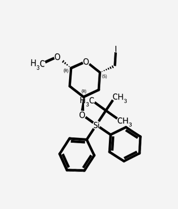 CO[C@H]1C[C@H](O[Si](c2ccccc2)(c2ccccc2)C(C)(C)C)C[C@@H](CI)O1